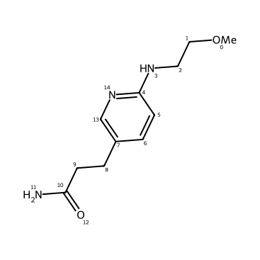 COCCNc1ccc(CCC(N)=O)cn1